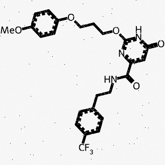 COc1ccc(OCCCOc2nc(C(=O)NCCc3ccc(C(F)(F)F)cc3)cc(=O)[nH]2)cc1